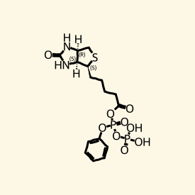 O=C1N[C@H]2[C@H](CS[C@H]2CCCCC(=O)OP(=O)(Oc2ccccc2)OP(=O)(O)O)N1